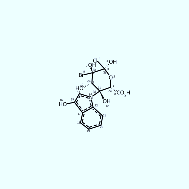 O=C(O)[C@H]1O[C@](O)(Cl)[C@@](O)(Br)[C@@H](O)[C@@]1(O)n1cc(O)c2ccccc21